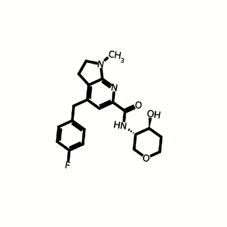 CN1CCc2c(Cc3ccc(F)cc3)cc(C(=O)N[C@H]3COCC[C@@H]3O)nc21